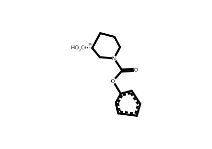 O=C(O)[C@@H]1CCCN(C(=O)Oc2ccccc2)C1